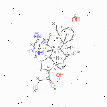 C[C@]12CC[C@@H](O)C[C@H]1CC[C@@H]1[C@@H]2C(=O)C[C@@]2(C)[C@H]1CC[C@]2(O)C(=O)CO.N=C=N.N=C=N